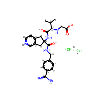 CC(C)[C@@H](NCC(=O)O)C(=O)NC1(C(=O)NCc2ccc(C(=N)N)cc2)Cc2ccncc2C1.Cl.Cl.Cl